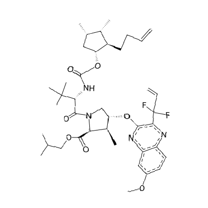 C=CCC[C@@H]1[C@@H](C)[C@@H](C)C[C@H]1OC(=O)N[C@H](C(=O)N1C[C@H](Oc2nc3cc(OC)ccc3nc2C(F)(F)C=C)[C@@H](C)[C@H]1C(=O)OCC(C)C)C(C)(C)C